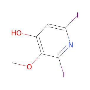 COc1c(O)cc(I)nc1I